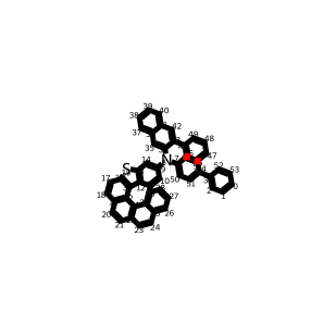 c1ccc(-c2ccc(N(c3cc4c5c(c3)sc3ccc6ccc7ccc8cccc-4c8c7c6c35)c3cc4ccccc4cc3-c3ccccc3)cc2)cc1